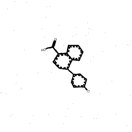 O=C(O)c1ccc(-c2ccc(Cl)cc2)c2ccccc12